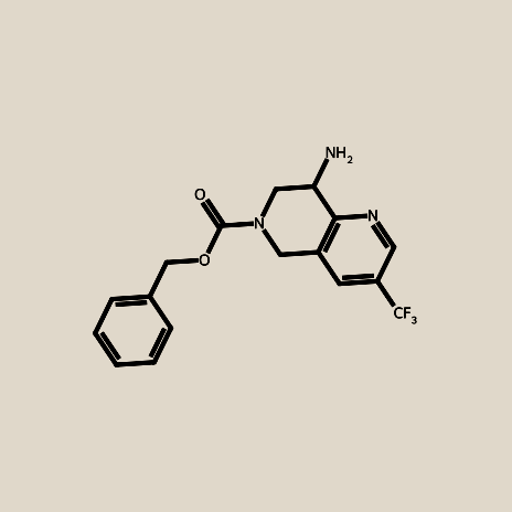 NC1CN(C(=O)OCc2ccccc2)Cc2cc(C(F)(F)F)cnc21